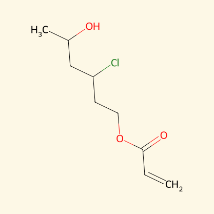 C=CC(=O)OCCC(Cl)CC(C)O